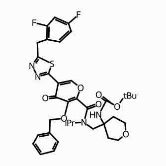 CC(C)N(CC1(NC(=O)OC(C)(C)C)CCOCC1)C(=O)c1occ(-c2nnc(Cc3ccc(F)cc3F)s2)c(=O)c1OCc1ccccc1